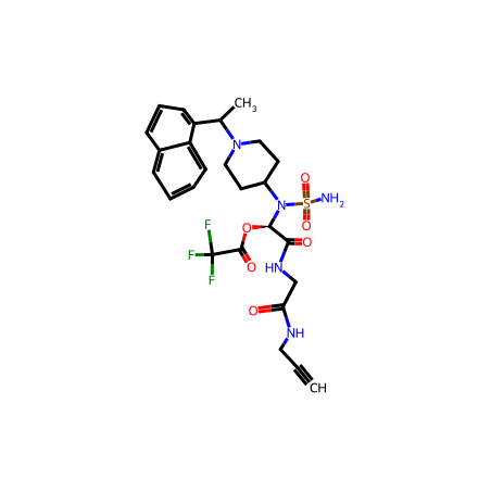 C#CCNC(=O)CNC(=O)[C@@H](OC(=O)C(F)(F)F)N(C1CCN(C(C)c2cccc3ccccc23)CC1)S(N)(=O)=O